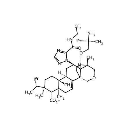 CC(C)[C@@H](C)[C@@]1(C)CC[C@]2(C)[C@H]3CC[C@@H]4[C@@]5(COC[C@@]4(C)[C@@H](OC[C@](C)(N)C(C)C)[C@H](n4ncnc4C(=O)NCC(F)(F)F)C5)C3=CC[C@@]2(C)[C@@H]1C(=O)O